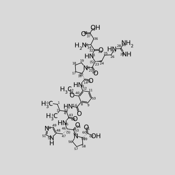 CCC(C)[C@H](NC(=O)c1cccc(NC(=O)[C@@H]2CCCN2C(=O)[C@H](CCCNC(=N)N)NC(=O)C(N)CC(=O)O)c1OC)C(=O)N[C@@H](Cc1cnc[nH]1)C(=O)N1CCC[C@H]1C(=O)O